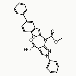 COC(=O)N(c1cc2cc(-c3ccccc3)ccc2o1)c1nn(-c2ccccc2)cc1C(=O)O